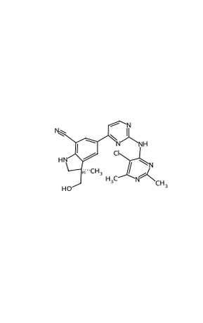 Cc1nc(C)c(Cl)c(Nc2nccc(-c3cc(C#N)c4c(c3)[C@@](C)(CO)CN4)n2)n1